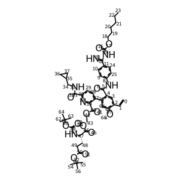 C=Cc1cc(C(=O)Nc2ccc(C(=N)NC(=O)OCCCCCC)cc2)c(-c2ccc(C(=O)NCC3CC3)nc2C(=O)OCOC(=O)[C@H](CCC(=O)OC(C)(C)C)NC(=O)OC(C)(C)C)cc1OC